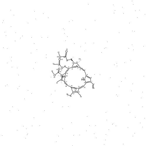 C=Cc1cc2cc3nc(c(COC(C)=O)c4[nH]c(cc5nc(cc1[nH]2)C(C)=C5CC)c(C)c4C(=O)OC)[C@@H](CCC(=O)OC)[C@@H]3C